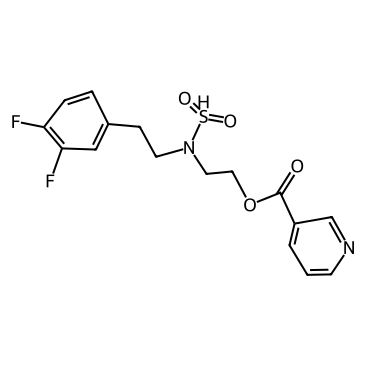 O=C(OCCN(CCc1ccc(F)c(F)c1)[SH](=O)=O)c1cccnc1